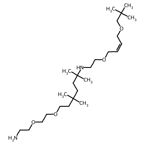 CC(C)(C)COC/C=C\COCCNC(C)(C)CCC(C)(C)CCOCCOCCN